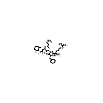 N=C(N)NCCC[C@@H](N)C(=O)N[C@@H](CC1CCCCC1)C(=O)N[C@@H](CCCCN)C(=O)N[C@@H](CC1CCCCC1)C(N)=O